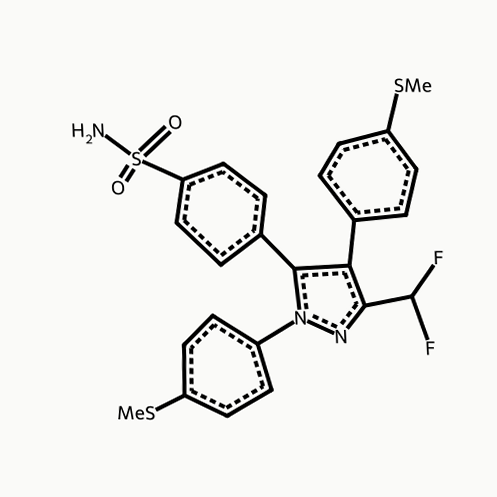 CSc1ccc(-c2c(C(F)F)nn(-c3ccc(SC)cc3)c2-c2ccc(S(N)(=O)=O)cc2)cc1